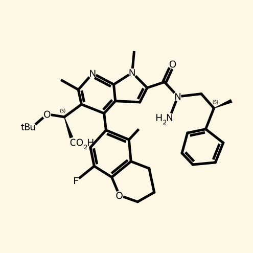 Cc1nc2c(cc(C(=O)N(N)C[C@@H](C)c3ccccc3)n2C)c(-c2cc(F)c3c(c2C)CCCO3)c1[C@H](OC(C)(C)C)C(=O)O